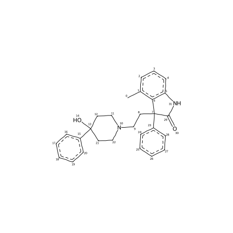 Cc1cccc2c1C(CCN1CCC(O)(c3ccccc3)CC1)(c1ccccc1)C(=O)N2